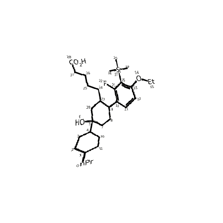 CCCC1CCC(C2(O)CCC(c3ccc(OCC)c([Si](C)(C)C)c3F)C(CCCCC(=O)O)C2)CC1